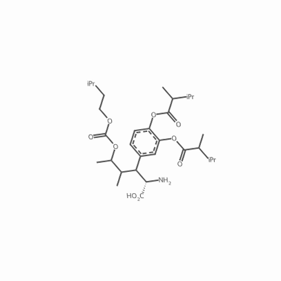 CC(C)CCOC(=O)OC(C)C(C)C(c1ccc(OC(=O)C(C)C(C)C)c(OC(=O)C(C)C(C)C)c1)[C@H](N)C(=O)O